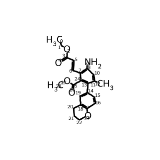 CCOC(=O)/C=C/c1c(N)cc(C)c(-c2ccc3c(c2)CCCO3)c1C(=O)OC